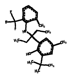 CCC(CC)(Pc1c(C)cccc1C(F)(F)F)c1cc(C)cc(C(C)(C)C)c1O